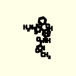 Cc1nc(C(=O)NC2CC[C@@H]3Oc4ccccc4C4(CSC(N)=N4)[C@H]3C2)co1